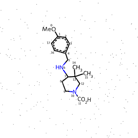 COc1ccc(CNC2CCN(C(=O)O)CC2(C)C)cc1